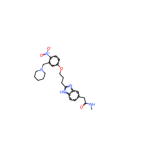 CNC(=O)Cc1ccc2[nH]c(CCCOc3ccc([N+](=O)[O-])c(CN4CCCCC4)c3)nc2c1